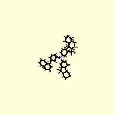 CC1(C)c2ccccc2-c2ccc(N(c3cccc(-c4cccc5ccccc45)c3)c3ccc4c(c3)C(C)(C)c3ccc5ccccc5c3-4)cc21